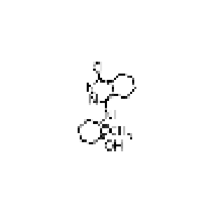 C[C@@]1(O)CCCC[C@H]1Nc1nnc(Cl)c2c1CCCC2